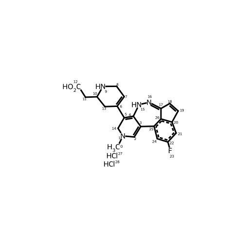 CN1C=C2C(=C(C3=CCNC(CC(=O)O)C3)C1)NN=C1C=Cc3cc(F)cc2c31.Cl.Cl